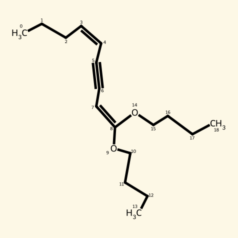 CCC/C=C\C#CC=C(OCCCC)OCCCC